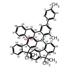 Cc1ccc(-c2cc(C)c(N(c3ccc4c(c3)C(C)(C)c3ccccc3-4)c3cccc4c3-c3ccccc3C4(C)C)c(-c3ccc4ccccc4c3)c2)cc1